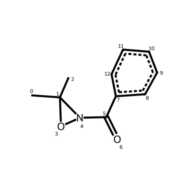 CC1(C)ON1C(=O)c1ccccc1